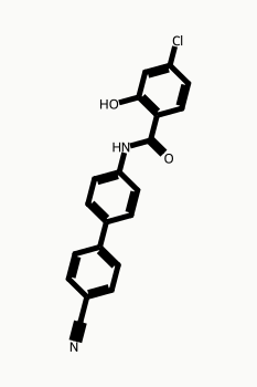 N#Cc1ccc(-c2ccc(NC(=O)c3ccc(Cl)cc3O)cc2)cc1